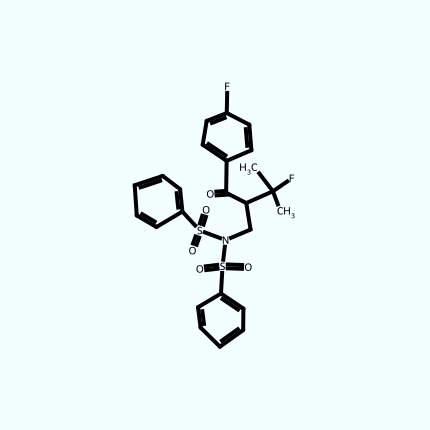 CC(C)(F)C(CN(S(=O)(=O)c1ccccc1)S(=O)(=O)c1ccccc1)C(=O)c1ccc(F)cc1